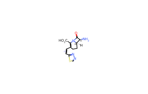 N[C@@H]1C(=O)N2C(C(=O)O)=C(/C=C\c3nncs3)CC[C@H]12